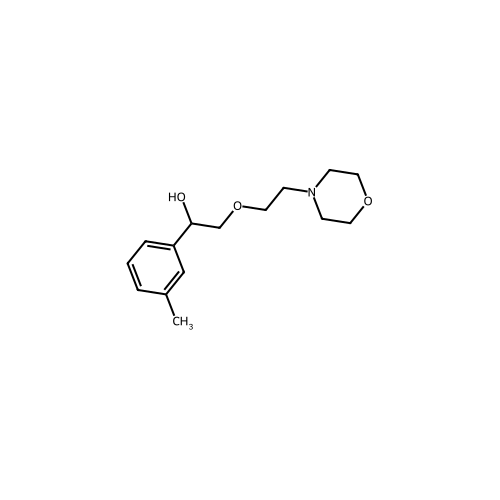 Cc1cccc(C(O)COCCN2CCOCC2)c1